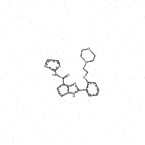 O=C(Nc1nccs1)c1cccc2[nH]c(-c3ccccc3OCCN3CCOCC3)nc12